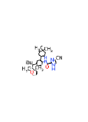 CC[C@@H](C)C(c1ccc(NC(=O)c2nc(C#N)c[nH]2)c(C2=CCC(C)(C)CC2)c1)[C@@H](C)[C@@]1(C)C=CCO1